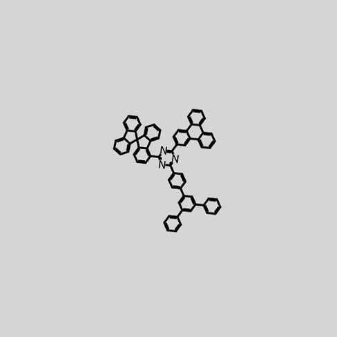 c1ccc(-c2cc(-c3ccccc3)cc(-c3ccc(-c4nc(-c5ccc6c7ccccc7c7ccccc7c6c5)nc(-c5cccc6c5-c5ccccc5C65c6ccccc6-c6ccccc65)n4)cc3)c2)cc1